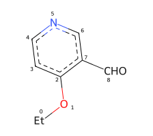 CCOc1ccncc1C=O